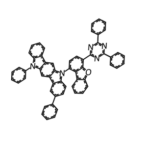 c1ccc(-c2ccc3c(c2)c2cc4c(cc2n3-c2ccc(-c3nc(-c5ccccc5)nc(-c5ccccc5)n3)c3oc5ccccc5c23)c2ccccc2n4-c2ccccc2)cc1